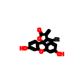 C=C1C(=O)OC2(/C1=C/CC)c1ccc(O)cc1Oc1cc(O)ccc12